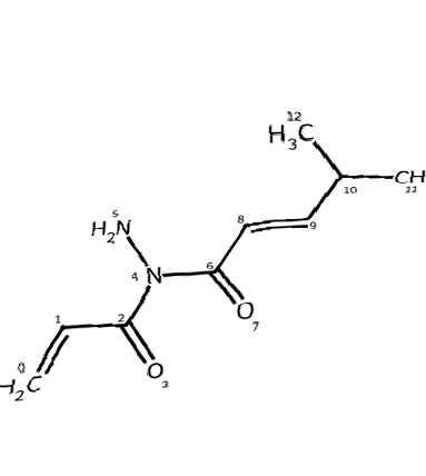 C=CC(=O)N(N)C(=O)C=CC(C)C